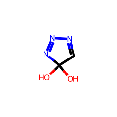 OC1(O)C=NN=N1